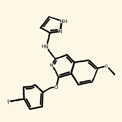 COc1ccc2c(Oc3ccc(F)cc3)nc(Nc3cc[nH]n3)cc2c1